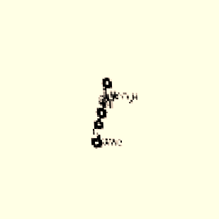 COc1ccccc1COc1ccc(-c2ccc(C(=O)N[C@@H](CCC(=O)O)C(=O)NCc3ccccc3)cc2)cc1